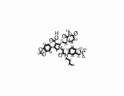 CCCCN(C(=O)CN1C[C@H](c2ccc3c(c2)OCO3)[C@@H](C(=O)O)[C@@H]1CCN1CCC(=O)N(C)C1=O)c1cccc(C[N+](C)(C)C)c1